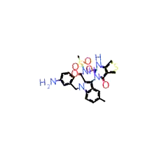 Cc1ccc2c(c1)c(-n1c(=O)[nH]c3cscc3c1=O)c(C(=O)NS(C)(=O)=O)n2Cc1cccc(N)c1